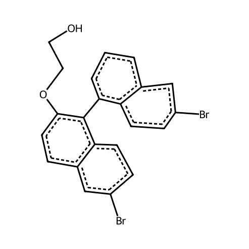 OCCOc1ccc2cc(Br)ccc2c1-c1cccc2cc(Br)ccc12